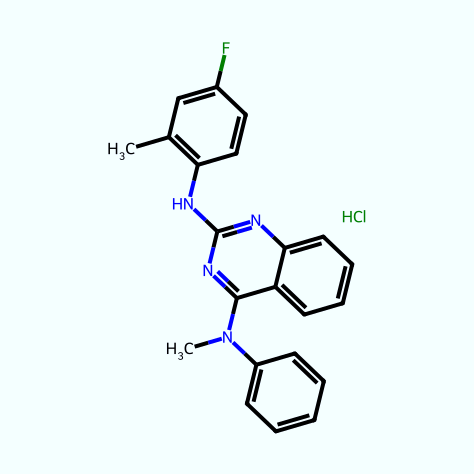 Cc1cc(F)ccc1Nc1nc(N(C)c2ccccc2)c2ccccc2n1.Cl